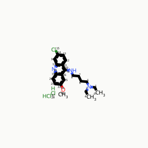 CCN(CC)CCCCNc1c2ccc(Cl)cc2nc2ccc(OC)cc12.Cl.Cl